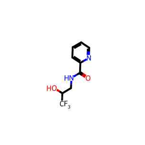 O=C(NCC(O)C(F)(F)F)c1ccccn1